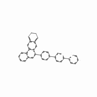 C1=c2cc3c(-c4ccc(-c5ccc(-c6ccccn6)nc5)cc4)cc4ccccc4c3cc2=CCC1